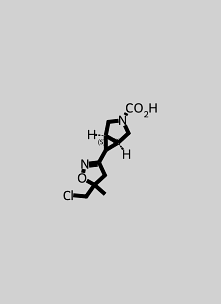 CC1(CCl)CC(C2[C@H]3CN(C(=O)O)C[C@@H]23)=NO1